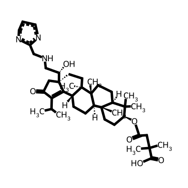 CC(C)C1=C2[C@H]3CC[C@@H]4[C@@]5(C)CC[C@H](OC(=O)CC(C)(C)C(=O)O)C(C)(C)[C@@H]5CC[C@@]4(C)[C@]3(C)CC[C@@]2([C@@H](O)CNCc2ncccn2)CC1=O